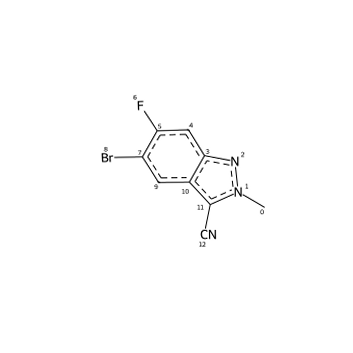 Cn1nc2cc(F)c(Br)cc2c1C#N